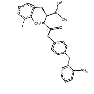 Cc1cccc(C[C@H](NC(=O)Cc2ccc(C[n+]3ccccc3N)cc2)B(O)O)c1O